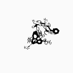 COc1ccc2c3c1O[C@@H]1C(OC(=O)[C@H](C)OC(=O)[C@H](C)NC(=O)[C@@H](NC(C)=O)c4ccccc4)=CC[C@]4(O)[C@H](C2)N(C)CC[C@@]314